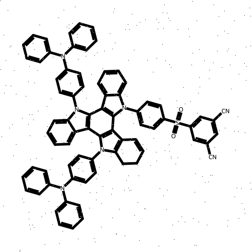 N#Cc1cc(C#N)cc(S(=O)(=O)c2ccc(-n3c4ccccc4c4c3c3c5c(n(-c6ccc(N(c7ccccc7)c7ccccc7)cc6)c3c3c6ccccc6n(-c6ccc(N(c7ccccc7)c7ccccc7)cc6)c34)CCC=C5)cc2)c1